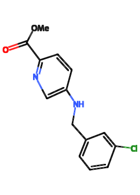 COC(=O)c1ccc(NCc2cccc(Cl)c2)cn1